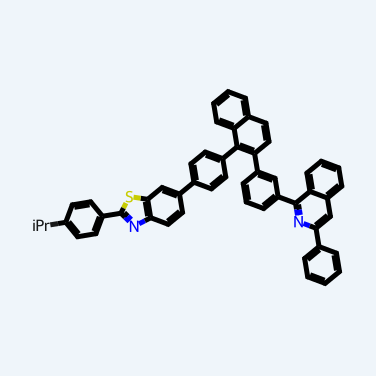 CC(C)c1ccc(-c2nc3ccc(-c4ccc(-c5c(-c6cccc(-c7nc(-c8ccccc8)cc8ccccc78)c6)ccc6ccccc56)cc4)cc3s2)cc1